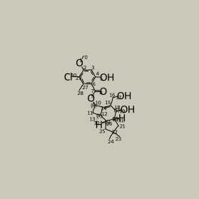 COc1cc(O)c(C(=O)O[C@@H]2C[C@@]3(C)C2=C(CO)[C@@H](O)[C@@H]2CC(C)(C)C[C@@H]23)c(C)c1Cl